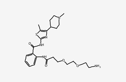 Cc1sc(NC(=O)c2ccccc2NC(=O)CCOCCOCCN)nc1C1CCN(C)CC1